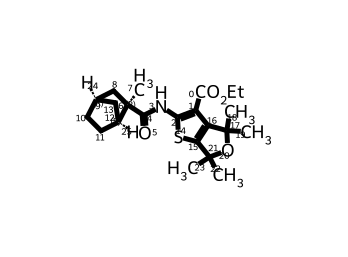 CCOC(=O)c1c(NC(=O)[C@]2(C)C[C@@H]3CC[C@H]2C3)sc2c1C(C)(C)OC2(C)C